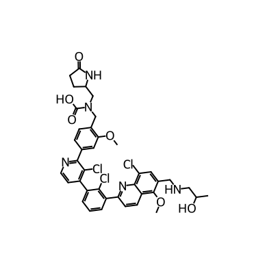 COc1cc(-c2nccc(-c3cccc(-c4ccc5c(OC)c(CNCC(C)O)cc(Cl)c5n4)c3Cl)c2Cl)ccc1CN(CC1CCC(=O)N1)C(=O)O